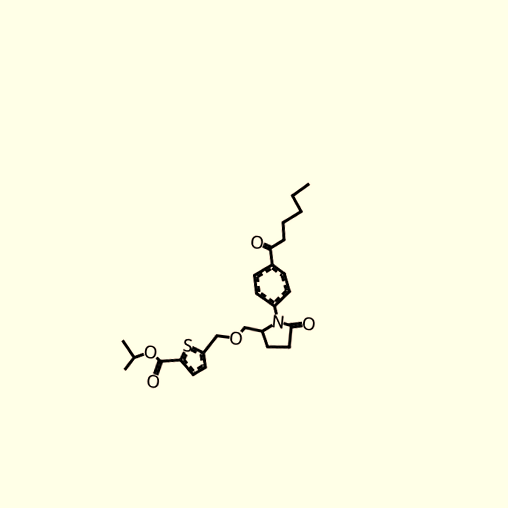 CCCCCC(=O)c1ccc(N2C(=O)CCC2COCc2ccc(C(=O)OC(C)C)s2)cc1